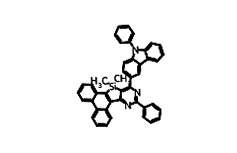 C[Si]1(C)c2c(-c3ccc4c(c3)c3ccccc3n4-c3ccccc3)nc(-c3ccccc3)nc2-c2c1c1ccccc1c1ccccc21